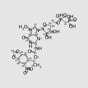 CC(OC(=O)Nc1nc2c(c(=O)[nH]1)[n+](C)cn2[C@@H]1O[C@H](COP(=O)(O)CP(=O)(O)O)[C@@H](O)[C@H]1O)c1cc2c(cc1[N+](=O)[O-])OCO2